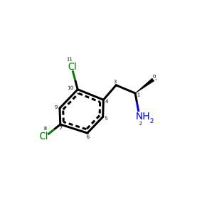 [CH2][C@@H](N)Cc1ccc(Cl)cc1Cl